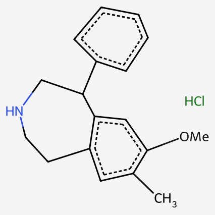 COc1cc2c(cc1C)CCNCC2c1ccccc1.Cl